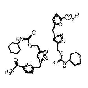 NC(=O)c1ccc(Cn2cc(COC(=O)NC3CCCCC3)nn2)o1.O=C(NC1CCCCC1)OCc1cn(Cc2ccc(C(=O)O)o2)nn1